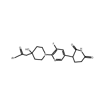 CC(C)C(=O)CC1(O)CCN(c2ncc(C3CCC(=O)NC3=O)cc2F)CC1